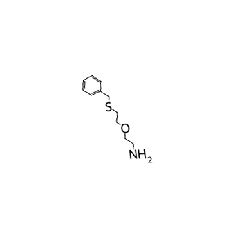 NCCOCCSCc1ccccc1